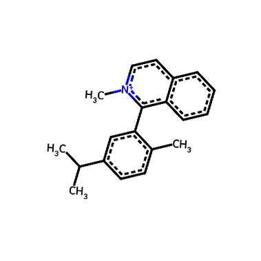 Cc1ccc(C(C)C)cc1-c1c2ccccc2cc[n+]1C